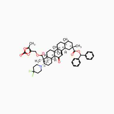 Cc1oc(=O)oc1COC(=O)[C@]1(C)[C@@H](N2CCC(F)(F)CC2)CC[C@@]2(C)[C@H]1CC[C@]1(C)[C@@H]2C(=O)C=C2[C@@H]3C[C@@](C)(C(=O)OC(c4ccccc4)c4ccccc4)CC[C@]3(C)CC[C@]21C